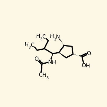 CCC(CC)[C@H](NC(C)=O)[C@@H]1C[C@@H](C(=O)O)C[C@H]1N